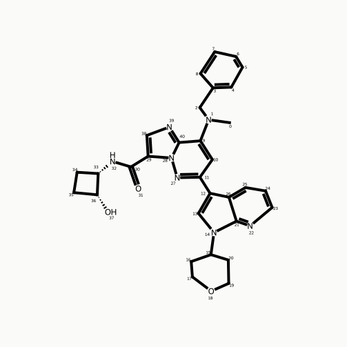 CN(Cc1ccccc1)c1cc(-c2cn(C3CCOCC3)c3ncccc23)nn2c(C(=O)N[C@H]3CC[C@H]3O)cnc12